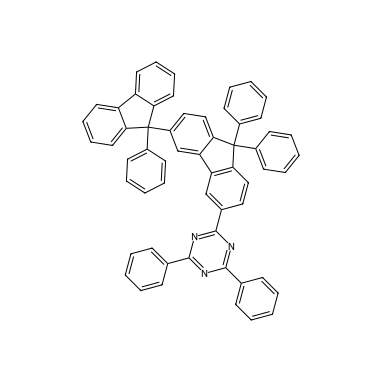 c1ccc(-c2nc(-c3ccccc3)nc(-c3ccc4c(c3)-c3cc(C5(c6ccccc6)c6ccccc6-c6ccccc65)ccc3C4(c3ccccc3)c3ccccc3)n2)cc1